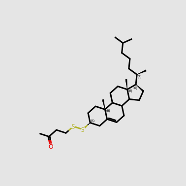 CC(=O)CCSS[C@H]1CC[C@@]2(C)C(=CCC3C2CC[C@@]2(C)C3CC[C@@H]2[C@H](C)CCCC(C)C)C1